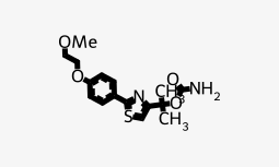 COCCOc1ccc(-c2nc(C(C)(C)OC(N)=O)cs2)cc1